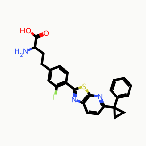 NC(CCc1ccc(-c2nc3ccc(C4(c5ccccc5)CC4)nc3s2)c(F)c1)C(=O)O